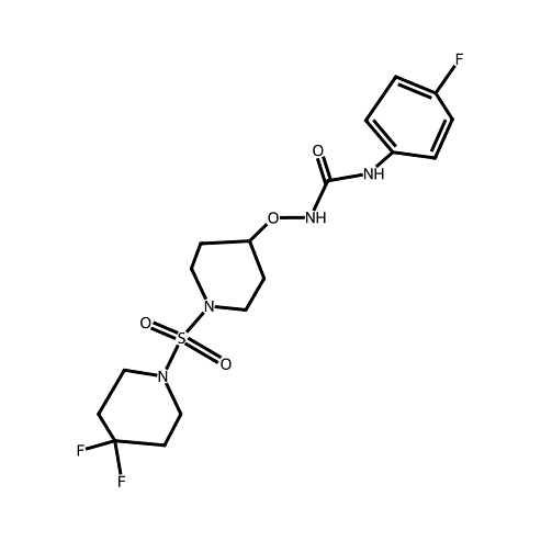 O=C(NOC1CCN(S(=O)(=O)N2CCC(F)(F)CC2)CC1)Nc1ccc(F)cc1